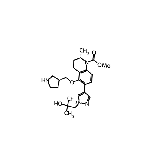 COC(=O)N1c2ccc(-c3cnn(CC(C)(C)O)c3)c(OC[C@H]3CCNC3)c2CC[C@@H]1C